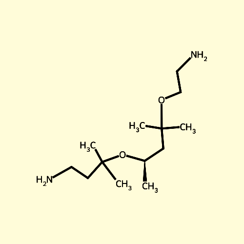 C[C@H](CC(C)(C)OCCN)OC(C)(C)CCN